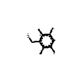 Cc1cc(C)c(C)c(C[O])c1C